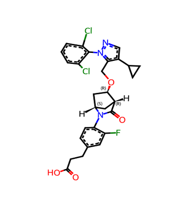 O=C(O)CCc1ccc(N2C(=O)[C@@H]3C[C@H]2C[C@H]3OCc2c(C3CC3)cnn2-c2c(Cl)cccc2Cl)c(F)c1